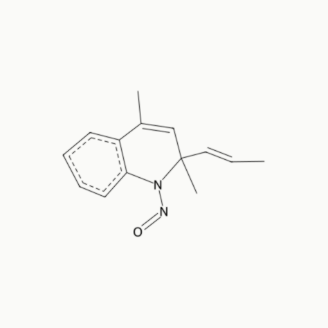 CC=CC1(C)C=C(C)c2ccccc2N1N=O